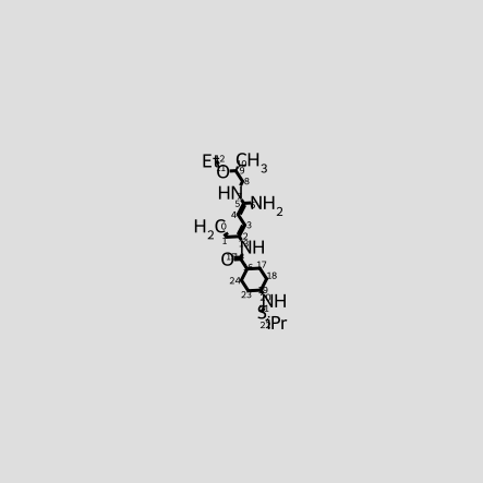 C=C/C(=C\C=C(/N)NC[C@H](C)OCC)NC(=O)C1CCC(NSC(C)C)CC1